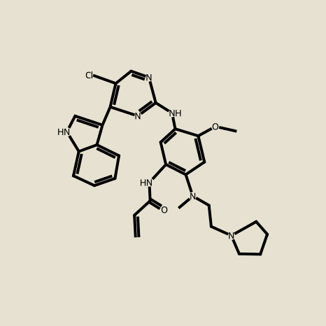 C=CC(=O)Nc1cc(Nc2ncc(Cl)c(-c3c[nH]c4ccccc34)n2)c(OC)cc1N(C)CCN1CCCC1